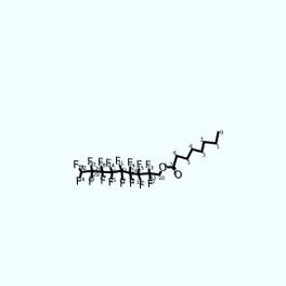 CCCCCCCC(=O)OCC(F)(F)C(F)(F)C(F)(F)C(F)(F)C(F)(F)C(F)(F)C(F)(F)C(F)F